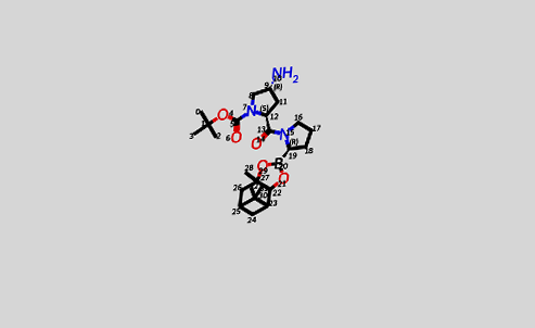 CC(C)(C)OC(=O)N1C[C@H](N)C[C@H]1C(=O)N1CCC[C@H]1B1OC2C3CC(CC2(C)O1)C3(C)C